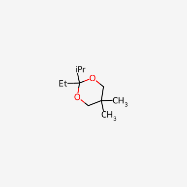 CCC1(C(C)C)OCC(C)(C)CO1